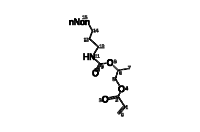 C=CC(=O)OCC(C)OC(=O)NCCCCCCCCCCCC